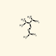 PP(P)/N=P/P(P(P)P)P(P)P